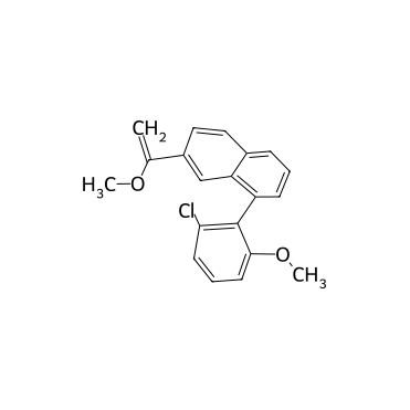 C=C(OC)c1ccc2cccc(-c3c(Cl)cccc3OC)c2c1